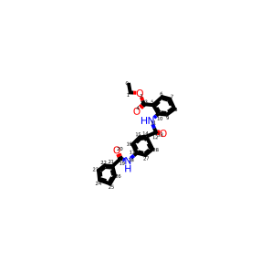 CCOC(=O)c1ccccc1NC(=O)c1ccc(NC(=O)c2ccccc2)cc1